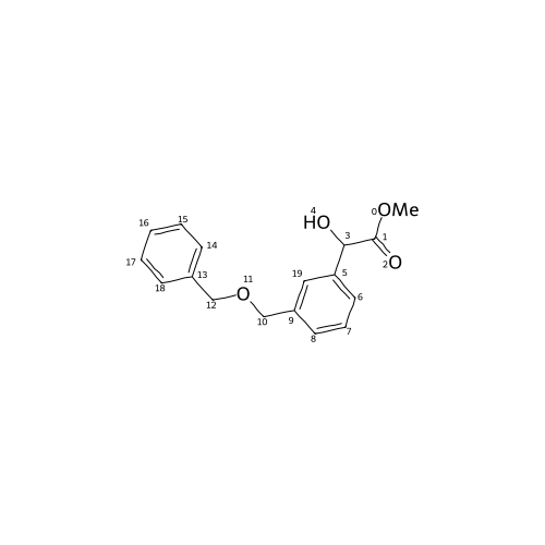 COC(=O)C(O)c1cccc(COCc2ccccc2)c1